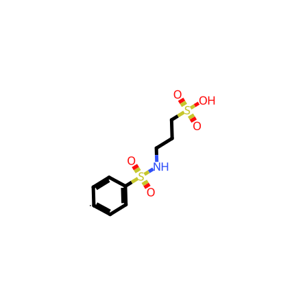 O=S(=O)(O)CCCNS(=O)(=O)c1cc[c]cc1